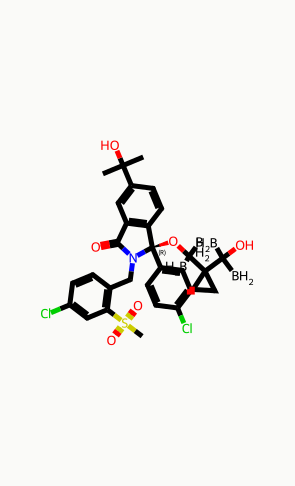 BC(B)(O)C1(C(B)(B)O[C@]2(c3ccc(Cl)cc3)c3ccc(C(C)(C)O)cc3C(=O)N2Cc2ccc(Cl)cc2S(C)(=O)=O)CC1